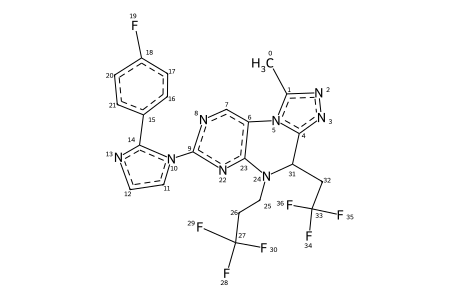 Cc1nnc2n1-c1cnc(-n3ccnc3-c3ccc(F)cc3)nc1N(CCC(F)(F)F)C2CC(F)(F)F